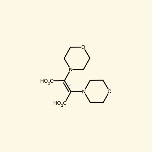 O=C(O)/C(=C(\C(=O)O)N1CCOCC1)N1CCOCC1